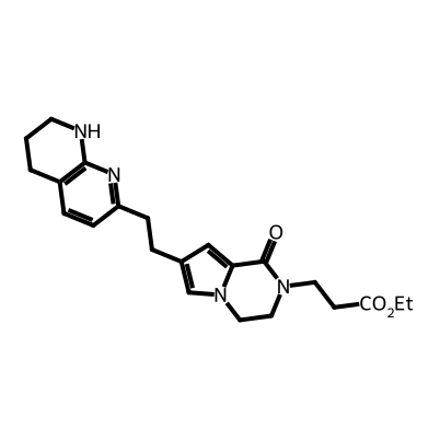 CCOC(=O)CCN1CCn2cc(CCc3ccc4c(n3)NCCC4)cc2C1=O